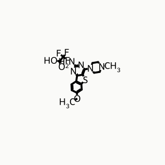 COc1ccc2c(c1)sc1c(N3CCN(C)CC3)nc(N)nc12.O=C(O)C(F)(F)F